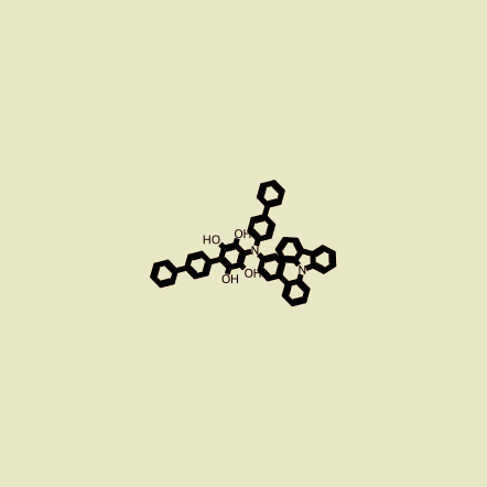 Oc1c(O)c(N(c2ccc(-c3ccccc3)cc2)c2ccc(-c3ccccc3-n3c4ccccc4c4ccccc43)cc2)c(O)c(O)c1-c1ccc(-c2ccccc2)cc1